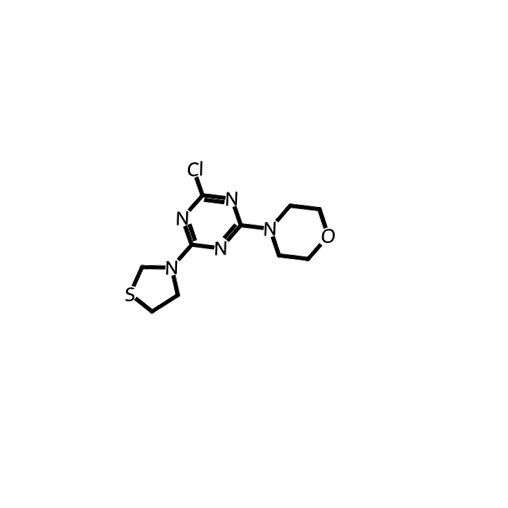 Clc1nc(N2CCOCC2)nc(N2CCSC2)n1